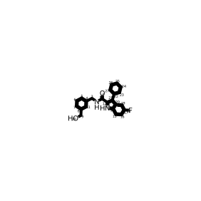 O=C(NCc1cccc(CO)c1)c1[nH]c2ccc(F)cc2c1-c1ccccc1